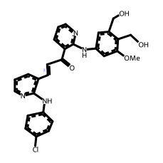 COc1cc(Nc2ncccc2C(=O)/C=C/c2cccnc2Nc2ccc(Cl)cc2)cc(CO)c1CO